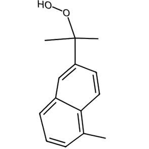 Cc1cccc2cc(C(C)(C)OO)ccc12